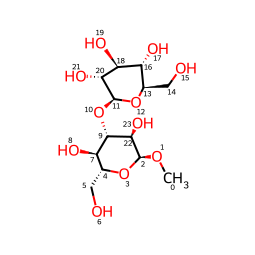 CO[C@H]1O[C@H](CO)[C@@H](O)[C@H](O[C@@H]2O[C@H](CO)[C@@H](O)[C@H](O)[C@H]2O)[C@H]1O